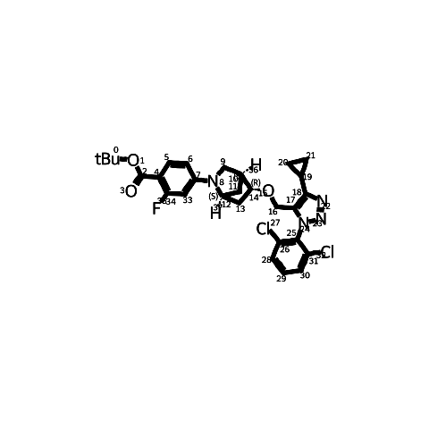 CC(C)(C)OC(=O)c1ccc(N2C[C@@H]3C[C@H]2C[C@H]3OCc2c(C3CC3)nnn2-c2c(Cl)cccc2Cl)cc1F